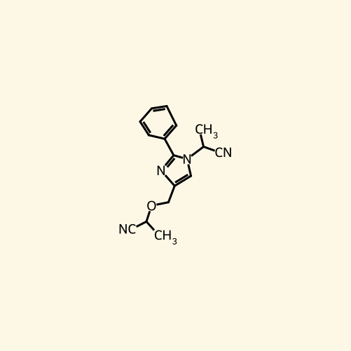 CC(C#N)OCc1cn(C(C)C#N)c(-c2ccccc2)n1